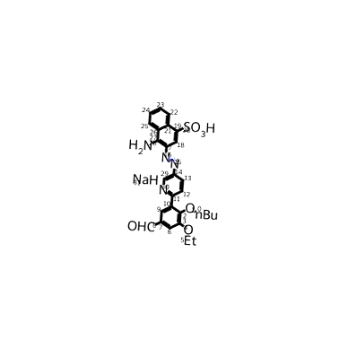 CCCCOc1c(OCC)cc(C=O)cc1-c1ccc(/N=N/c2cc(S(=O)(=O)O)c3ccccc3c2N)cn1.[NaH]